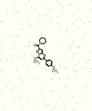 COc1ccc(-c2cc(OC)n3nc(C(=O)N4CCCCC4)cc3n2)cc1